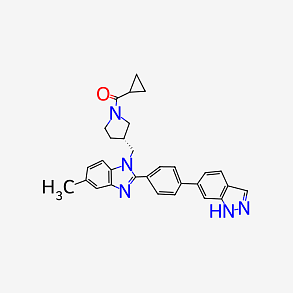 Cc1ccc2c(c1)nc(-c1ccc(-c3ccc4cn[nH]c4c3)cc1)n2C[C@@H]1CCN(C(=O)C2CC2)C1